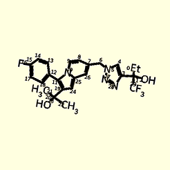 CCC(O)(c1cn(Cc2ccn3c(-c4ccc(F)cc4)c(C(C)(C)O)cc3c2)nn1)C(F)(F)F